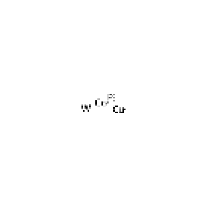 [Co].[Cu].[P].[W]